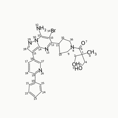 CC(CO)(CO)C(=O)N1CCC(c2nc3c(-c4ccc(-c5ccccc5)nc4)cnn3c(N)c2Br)CC1